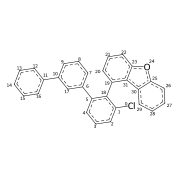 Clc1cccc(-c2cccc(-c3ccccc3)c2)c1-c1cccc2oc3ccccc3c12